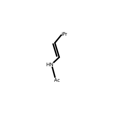 CC(=O)NC=CC(C)C